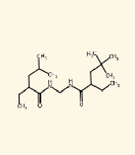 CCC(CC(C)C)C(=O)NCNC(=O)C(CC)CC(C)(C)C